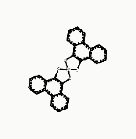 c1ccc2c(c1)c1c(c3ccccc32)S[N+]2(S1)Sc1c(c3ccccc3c3ccccc13)S2